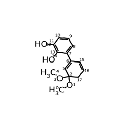 COC1(OC)C=C(c2cccc(O)c2O)C=CC1